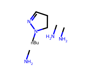 CCCCN1CCC=N1.CN.CN.CN